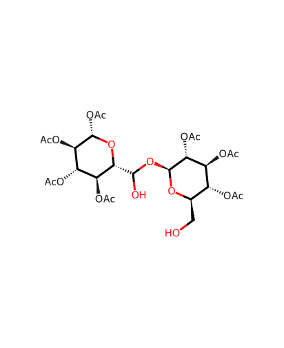 CC(=O)O[C@@H]1O[C@H](C(O)O[C@@H]2O[C@H](CO)[C@@H](OC(C)=O)[C@H](OC(C)=O)[C@H]2OC(C)=O)[C@@H](OC(C)=O)[C@H](OC(C)=O)[C@H]1OC(C)=O